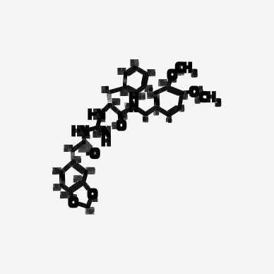 COc1ccc(CNC(=O)[C@@H](Cc2ccccc2)NC(=N)NC(=O)Cc2ccc3c(c2)OCO3)cc1OC